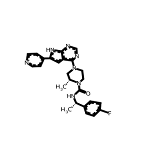 C[C@H](NC(=O)N1CCN(c2ncnc3[nH]c(-c4ccncc4)cc23)C[C@H]1C)c1ccc(F)cc1